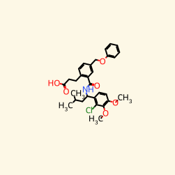 COc1ccc(C(CC(C)C)NC(=O)c2cc(COc3ccccc3)ccc2CCC(=O)O)c(Cl)c1OC